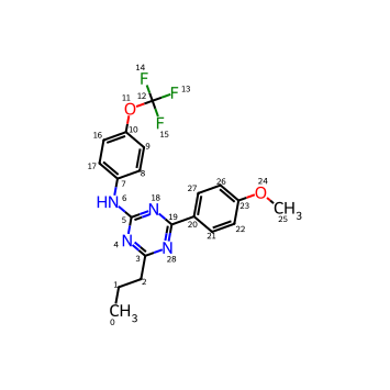 CCCc1nc(Nc2ccc(OC(F)(F)F)cc2)nc(-c2ccc(OC)cc2)n1